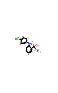 CC(C)(O)c1ccccc1Nc1ccc(Br)cc1